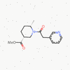 COC(=O)[C@@H]1CC[C@H](C)N(C(=O)Cc2cccnc2)C1